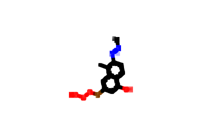 [2H]/N=N/c1ccc2c(O)cc(SOOO)cc2c1C